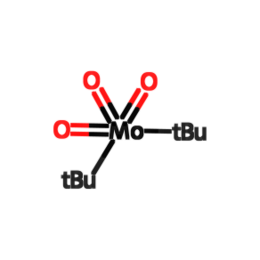 C[C](C)(C)[Mo](=[O])(=[O])(=[O])[C](C)(C)C